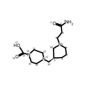 NC(=O)CCN1CCC[C@@H](CN2CCN(C(=O)O)CC2)C1